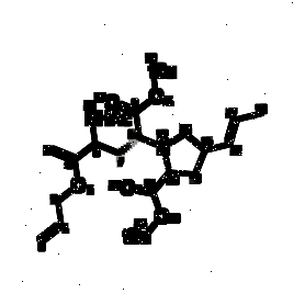 C=CCOC(=C)C(C[C@H](C(=O)OC(C)(C)C)N1CC(C=CC)CC1C(=O)OC(C)(C)C)NC(C)=O